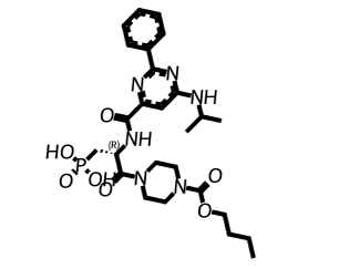 CCCCOC(=O)N1CCN(C(=O)[C@H](CP(=O)(O)O)NC(=O)c2cc(NC(C)C)nc(-c3ccccc3)n2)CC1